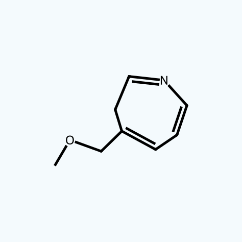 COCC1=CC=CN=CC1